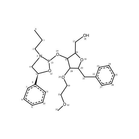 CCCN1C[C@H](c2ccccc2)OP1OC1C(CO)OC(Cc2ccccc2)C1OCCOC